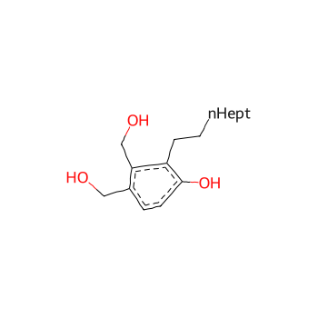 CCCCCCCCCc1c(O)ccc(CO)c1CO